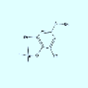 CC(C)c1cc(SS)cc(C(C)C)c1O[Si](C)(C)C